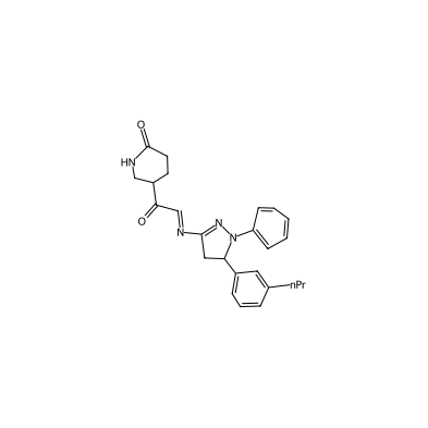 CCCc1cccc(C2CC(/N=C/C(=O)C3CCC(=O)NC3)=NN2c2ccccc2)c1